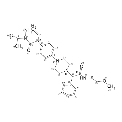 C=CN(C(=O)N(N)C(C)C)c1ccc(N2CCN(C(C(=O)NCCOC)c3ccccc3)CC2)cc1